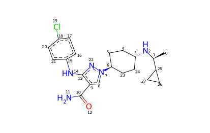 C[C@H](N[C@H]1CC[C@H](n2cc(C(N)=O)c(Nc3ccc(Cl)cc3)n2)CC1)C1CC1